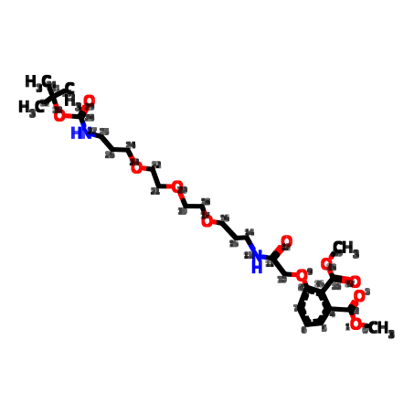 COC(=O)c1cccc(OCC(=O)NCCCOCCOCCOCCCNC(=O)OC(C)(C)C)c1C(=O)OC